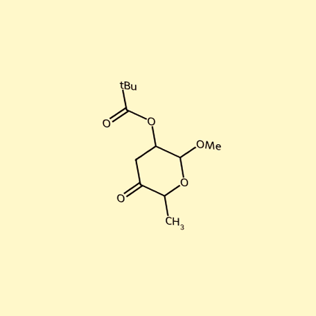 COC1OC(C)C(=O)CC1OC(=O)C(C)(C)C